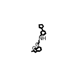 Cc1cc2cccc(OCCNCc3cccc(C4=CCCC4)c3)c2o1